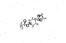 CC(C)(C)C(=O)ON1CCC(c2ncco2)CC1